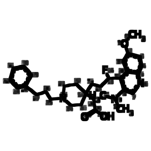 COc1ccc2ncc(N(C)C)c(C(F)CCC3(CC(=O)O)CCN(CCCc4ccccc4)CC3)c2c1